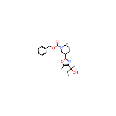 CCC(C)(O)c1nc(C2CC[C@@H](C)N(C(=O)OCc3ccccc3)C2)oc1C